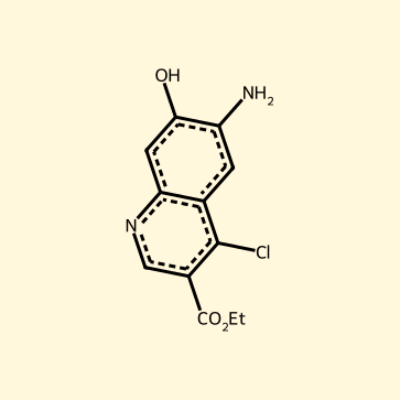 CCOC(=O)c1cnc2cc(O)c(N)cc2c1Cl